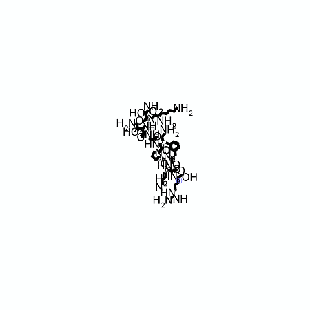 Cc1cccc(C[C@H](NC(=O)[C@@H]2CCCN2C(=O)[C@@H](CCCN)NC(=O)CNC(=O)C(NC(=O)[C@@H](NC(=O)C(N)CCCCN)[C@@H](O)CN)[C@@H](O)CN)C(=O)N[C@@H](CCCCN)C(=O)N/C(=C\CCNC(=N)N)C(=O)O)c1